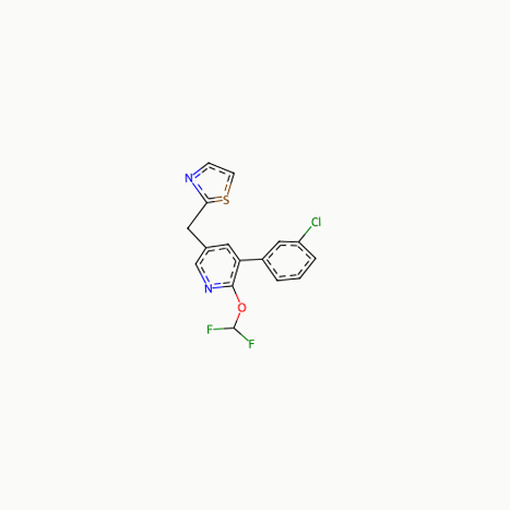 FC(F)Oc1ncc(Cc2nccs2)cc1-c1cccc(Cl)c1